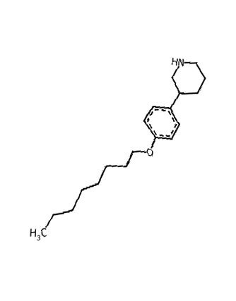 CCCCCCCCOc1ccc(C2CCCNC2)cc1